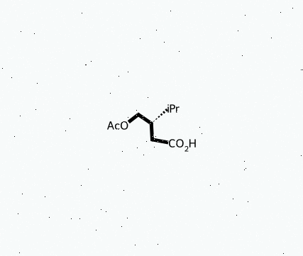 CC(=O)OC[C@@H](CC(=O)O)C(C)C